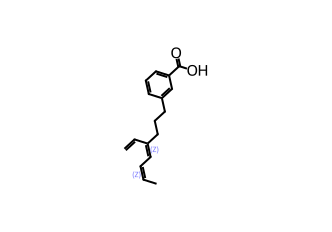 C=C/C(=C\C=C/C)CCCc1cccc(C(=O)O)c1